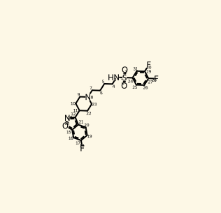 O=S(=O)(NCCCCN1CCC(c2noc3cc(F)ccc23)CC1)c1ccc(F)c(F)c1